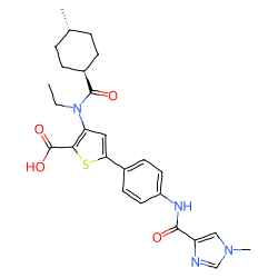 CCN(c1cc(-c2ccc(NC(=O)c3cn(C)cn3)cc2)sc1C(=O)O)C(=O)[C@H]1CC[C@H](C)CC1